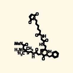 CNC(=O)[C@@H](N)C(C)(C)SCNC(=O)CNC(=O)[C@H](Cc1ccccc1)NC(=O)CNC(=O)CNC(=O)CCCCCN1C(=O)C=CC1=O